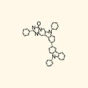 O=c1nc(-c2ccccc2)nc2cc3c4cc(-c5ccc6c(c5)c5ccccc5n6-c5ccccc5)ccc4n(-c4ccccc4)c3cn12